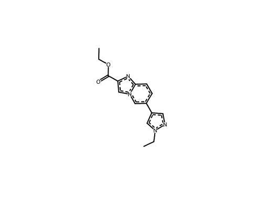 CCOC(=O)c1cn2cc(-c3cnn(CC)c3)ccc2n1